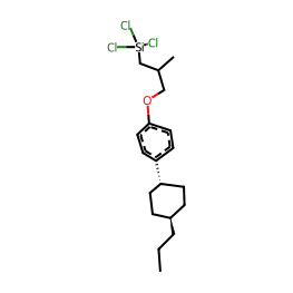 CCC[C@H]1CC[C@H](c2ccc(OCC(C)C[Si](Cl)(Cl)Cl)cc2)CC1